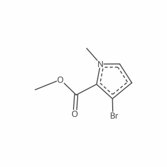 COC(=O)c1c(Br)ccn1C